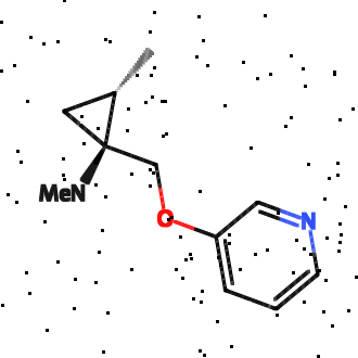 CN[C@@]1(COc2cccnc2)C[C@@H]1C